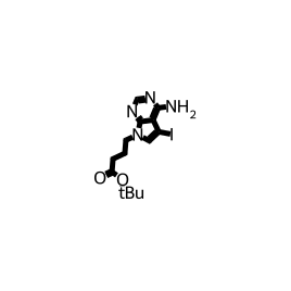 CC(C)(C)OC(=O)CCCn1cc(I)c2c(N)ncnc21